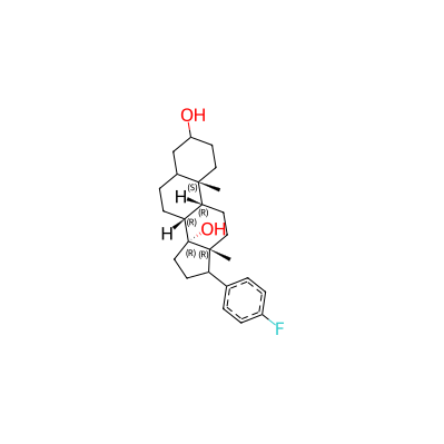 C[C@]12CCC(O)CC1CC[C@@H]1[C@H]2CC[C@]2(C)C(c3ccc(F)cc3)CC[C@@]12O